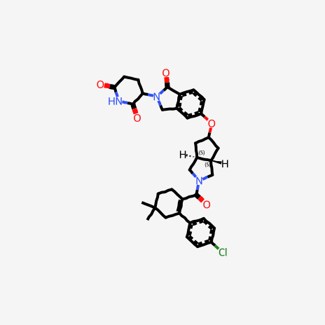 CC1(C)CCC(C(=O)N2C[C@H]3CC(Oc4ccc5c(c4)CN(C4CCC(=O)NC4=O)C5=O)C[C@@H]3C2)=C(c2ccc(Cl)cc2)C1